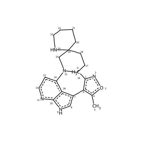 Cc1noc(C)c1-c1c[nH]c2nccc(N3CCCC4(CCCCN4)C3)c12